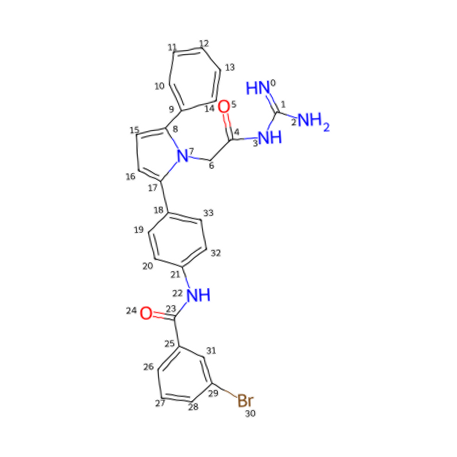 N=C(N)NC(=O)Cn1c(-c2ccccc2)ccc1-c1ccc(NC(=O)c2cccc(Br)c2)cc1